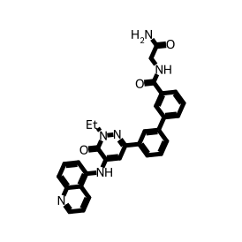 CCn1nc(-c2cccc(-c3cccc(C(=O)NCC(N)=O)c3)c2)cc(Nc2cccc3ncccc23)c1=O